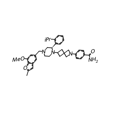 COc1cc(CN2CCN(C3CC4(C3)CN(c3ccc(C(N)=O)cc3)C4)[C@H](c3ccccc3C(C)C)C2)cc2cc(C)oc12